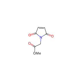 COC(=O)CN1C(=O)C=CC1=O